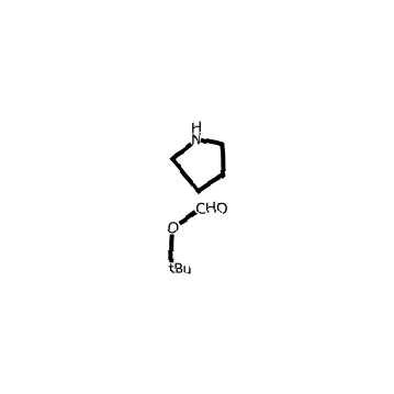 C1CCNC1.CC(C)(C)OC=O